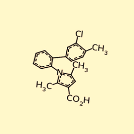 Cc1ccc(-c2ccccc2-n2c(C)cc(C(=O)O)c2C)cc1Cl